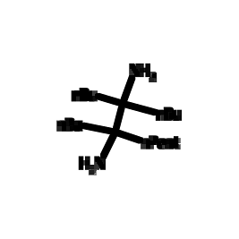 CCCCCC(N)(CCCC)C(N)(CCCC)CCCC